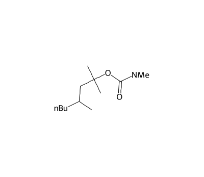 CCCCC(C)CC(C)(C)OC(=O)NC